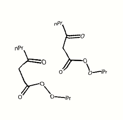 CCCC(=O)CC(=O)OOC(C)C.CCCC(=O)CC(=O)OOC(C)C